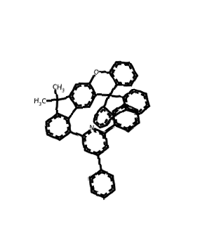 CC1(C)c2cc3c(cc2-c2c(-c4cc(-c5ccccc5)cc(-c5ccccc5)n4)cccc21)C1(c2ccccc2O3)c2ccccc2-c2ccccc21